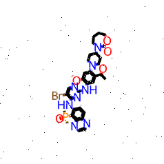 COc1cc(N2CCC(N3CCCCOC3=O)CC2)c(C(C)=O)cc1Nc1ncc(Br)c(Nc2ccc3nccnc3c2P(C)(C)=O)n1